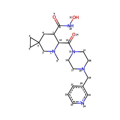 CN1CC2(CC2)CC(C(=O)NO)C1C(=O)N1CCN(Cc2cccnc2)CC1